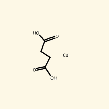 O=C(O)CCC(=O)O.[Cd]